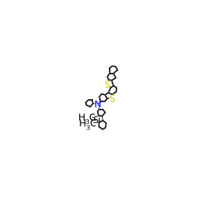 C[Si]1(C)c2ccccc2-c2ccc(N(c3ccccc3)c3ccc4c(c3)sc3ccc5c6cc7ccccc7cc6sc5c34)cc21